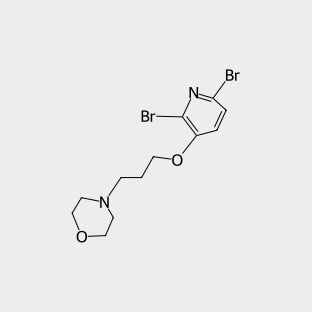 Brc1ccc(OCCCN2CCOCC2)c(Br)n1